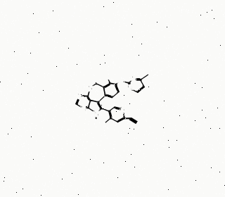 C#Cc1cc(C)c(-c2c3c4c(ncnc4n2C)NCc2c-3ccc(Oc3nccc(C)n3)c2F)cn1